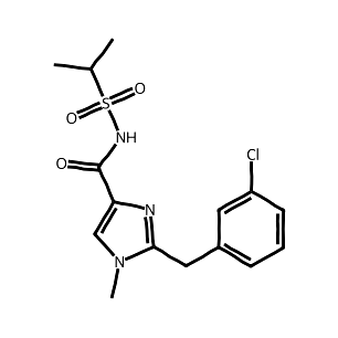 CC(C)S(=O)(=O)NC(=O)c1cn(C)c(Cc2cccc(Cl)c2)n1